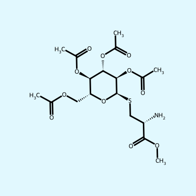 COC(=O)[C@@H](N)CS[C@H]1O[C@H](COC(C)=O)[C@@H](OC(C)=O)[C@H](OC(C)=O)[C@H]1OC(C)=O